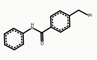 CC(C)Cc1ccc(C(=O)Nc2ccccc2)cc1